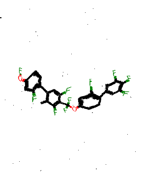 Cc1c(-c2ccc(OF)cc2F)cc(F)c(C(F)(F)Oc2ccc(-c3cc(F)c(F)c(F)c3)c(F)c2)c1F